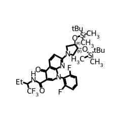 CCC(NC(=O)c1cn(-c2c(F)cccc2F)c2nc(N3C[C@@H](O[Si](C)(C)C(C)(C)C)[C@H](O[Si](C)(C)C(C)(C)C)C3)ccc2c1=O)C(F)(F)F